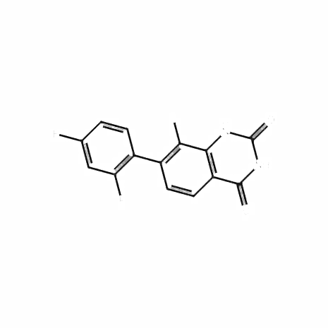 O=c1[nH]c(=O)c2ccc(-c3ccc(F)cc3F)c(I)c2[nH]1